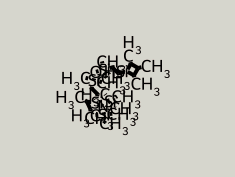 CC1C(C)[SiH](CC[Si](C)(C)O[Si](C)(C)CC[Si]2(N([Si](C)(C)C)[Si](C)(C)C)C(C)C2C)C1C